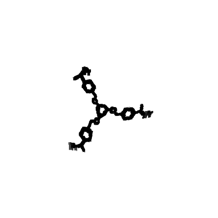 CC(C)C(C)c1ccc(COc2cc(OCc3ccc(C(C)C(C)C)cc3)cc(OCc3ccc(C(C)C(C)C)cc3)c2)cc1